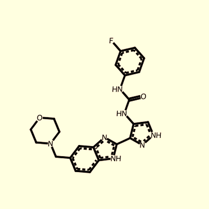 O=C(Nc1cccc(F)c1)Nc1c[nH]nc1-c1nc2cc(CN3CCOCC3)ccc2[nH]1